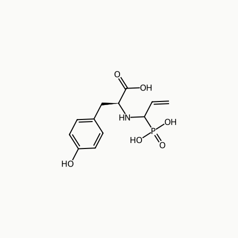 C=CC(N[C@@H](Cc1ccc(O)cc1)C(=O)O)P(=O)(O)O